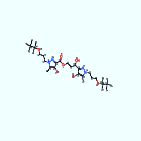 Cc1c(Br)c(C(=O)OCCC(O)c2nn(CCCO[Si](C)(C)C(C)(C)C)c(C)c2Br)nn1CCCO[Si](C)(C)C(C)(C)C